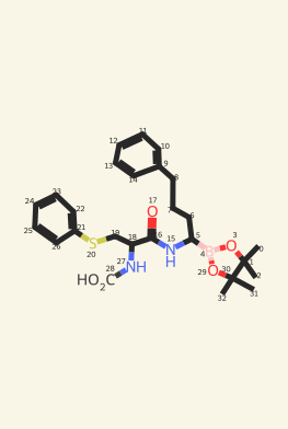 CC1(C)OB(C(CCCc2ccccc2)NC(=O)C(CSc2ccccc2)NC(=O)O)OC1(C)C